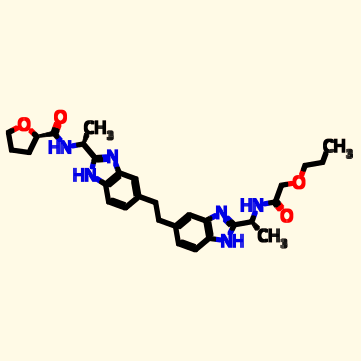 CCCOCC(=O)N[C@@H](C)c1nc2cc(CCc3ccc4[nH]c([C@H](C)NC(=O)[C@H]5CCCO5)nc4c3)ccc2[nH]1